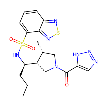 CCC[C@@H](NS(=O)(=O)c1cccc2nsnc12)[C@H]1CN(C(=O)c2cnn[nH]2)C[C@H]1C